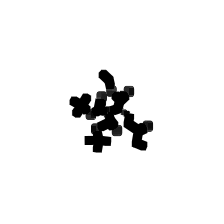 CCOC(=O)[C@H](CCC(=O)CC)N(C(=O)OC(C)(C)C)C(=O)OC(C)(C)C